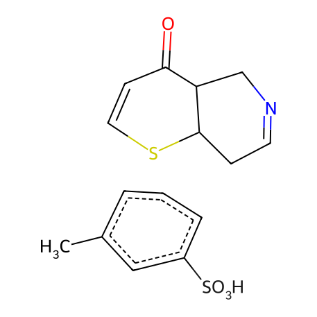 Cc1cccc(S(=O)(=O)O)c1.O=C1C=CSC2CC=NCC12